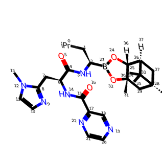 CC(C)C[C@H](NC(=O)[C@H](Cc1nccn1C)NC(=O)c1cnccn1)B1O[C@@H]2[C@H]3C[C@@H](C[C@]2(C)O1)C3(C)C